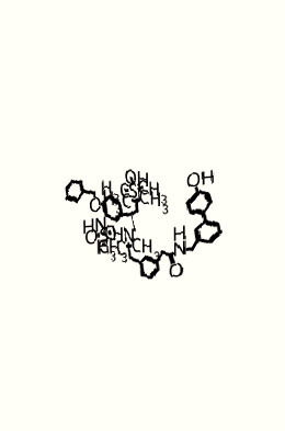 CC(C)(Cc1cccc(CC(=O)NCc2cccc(-c3ccc(O)cc3)c2)c1)NC[C@H](CC(C)(C)[Si](C)(C)O)c1ccc(OCc2ccccc2)c(NS(C)(=O)=O)c1